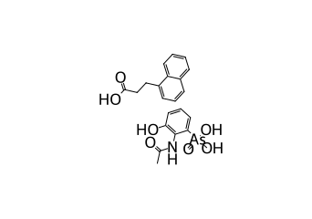 CC(=O)Nc1c(O)cccc1[As](=O)(O)O.O=C(O)CCc1cccc2ccccc12